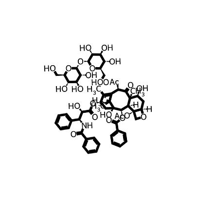 CC(=O)O[C@H]1C(=O)[C@@]2(C)[C@H]([C@H](OC(=O)c3ccccc3)[C@]3(O)C[C@H](OC(=O)[C@H](O)[C@@H](NC(=O)c4ccccc4)c4ccccc4)C(C)=C1C3(C)C)[C@]1(OC(C)=O)CO[C@@H]1C[C@@H]2O.OC[C@H]1O[C@H](O[C@H]2O[C@H](CO)[C@@H](O)[C@H](O)[C@H]2O)[C@H](O)[C@@H](O)[C@@H]1O